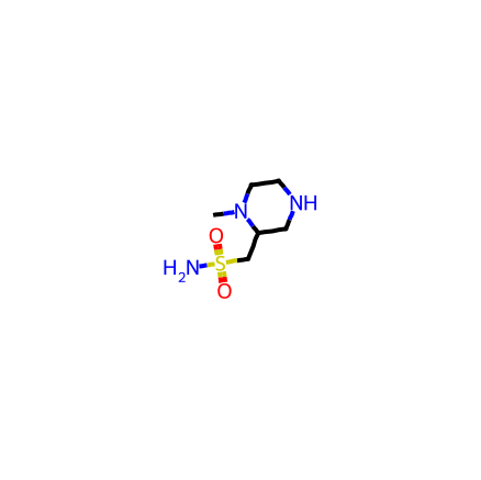 CN1CCNCC1CS(N)(=O)=O